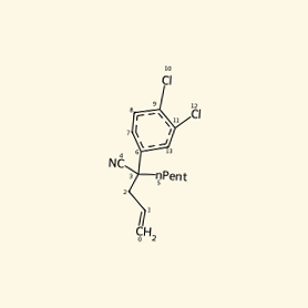 C=CCC(C#N)(CCCCC)c1ccc(Cl)c(Cl)c1